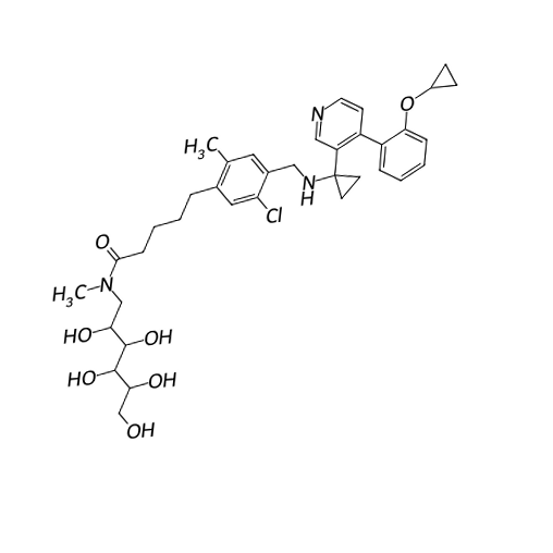 Cc1cc(CNC2(c3cnccc3-c3ccccc3OC3CC3)CC2)c(Cl)cc1CCCCC(=O)N(C)CC(O)C(O)C(O)C(O)CO